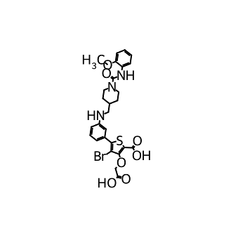 COc1ccccc1NC(=O)N1CCC(CNc2cccc(-c3sc(C(=O)O)c(OCC(=O)O)c3Br)c2)CC1